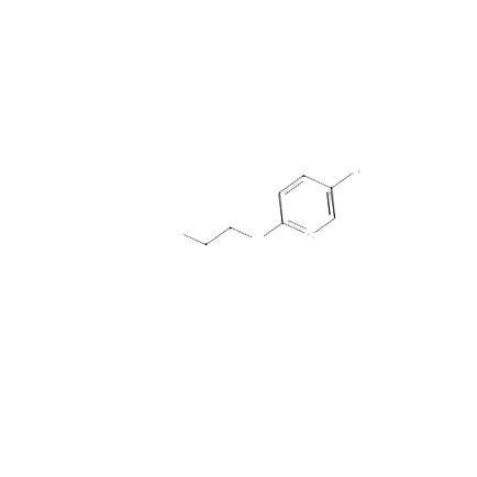 CC(C)(C)CCOc1ccc(Br)cn1